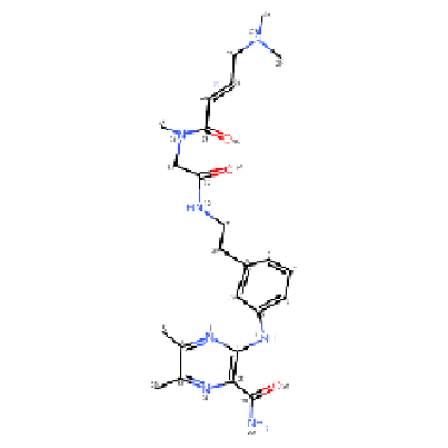 Cc1nc(Nc2cccc(CCNC(=O)CN(C)C(=O)/C=C/CN(C)C)c2)c(C(N)=O)nc1C